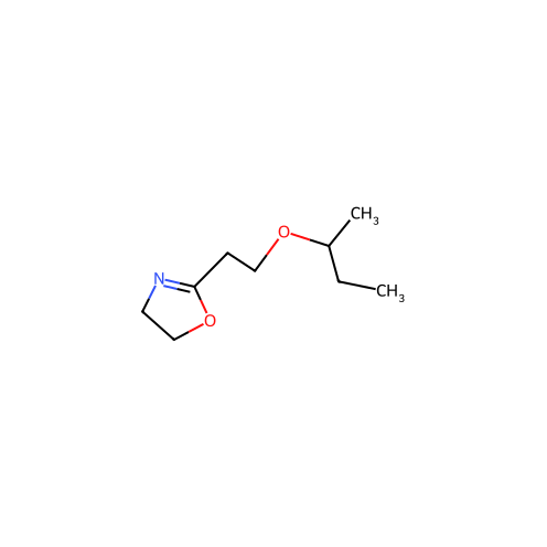 CCC(C)OCCC1=NCCO1